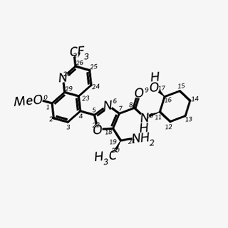 COc1ccc(-c2nc(C(=O)N[C@@H]3CCCC[C@@H]3O)c([C@H](C)N)o2)c2ccc(C(F)(F)F)nc12